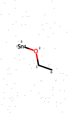 CC[O][Sn+]